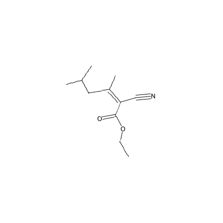 CCOC(=O)C(C#N)=C(C)CC(C)C